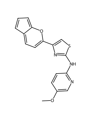 COc1ccc(Nc2nc(-c3ccc4cccc-4o3)cs2)nc1